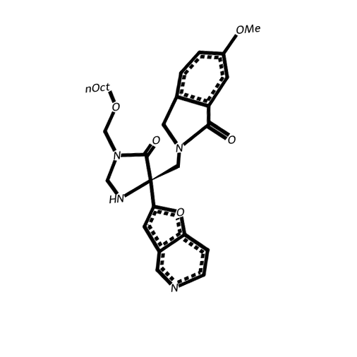 CCCCCCCCOCN1CN[C@@](CN2Cc3ccc(OC)cc3C2=O)(c2cc3cnccc3o2)C1=O